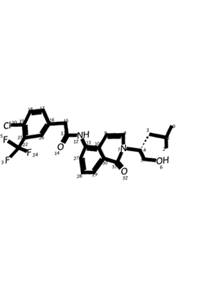 CC(C)C[C@H](CO)n1ccc2c(NC(=O)Cc3ccc(Cl)c(C(F)(F)F)c3)cccc2c1=O